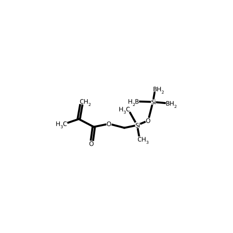 B[Si](B)(B)O[Si](C)(C)COC(=O)C(=C)C